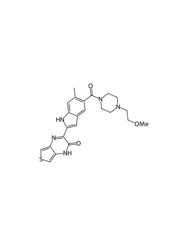 COCCN1CCN(C(=O)c2cc3cc(-c4nc5cscc5[nH]c4=O)[nH]c3cc2C)CC1